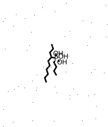 CCCCCCC(CCC)P(O)(O)(O)CCCC